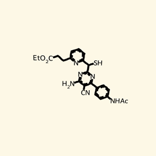 CCOC(=O)CCc1cccc(C(S)c2nc(N)c(C#N)c(-c3ccc(NC(C)=O)cc3)n2)n1